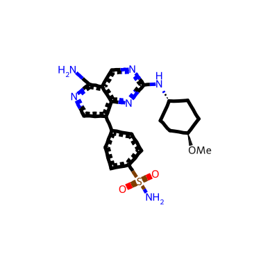 CO[C@H]1CC[C@H](Nc2ncc3c(N)ncc(-c4ccc(S(N)(=O)=O)cc4)c3n2)CC1